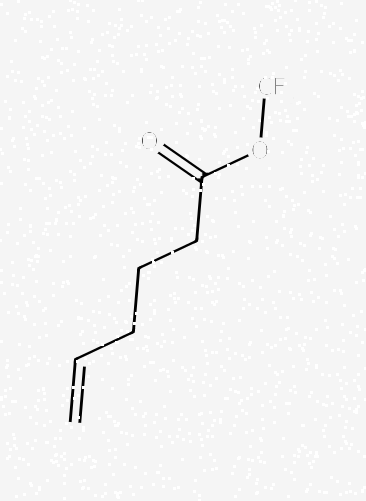 C=CCCCC(=O)OC(F)(F)F